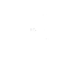 Cc1ccc(NC(=O)C(C)O)cc1